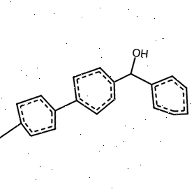 Cc1ccc(-c2ccc(C(O)c3ccccc3)cc2)cc1